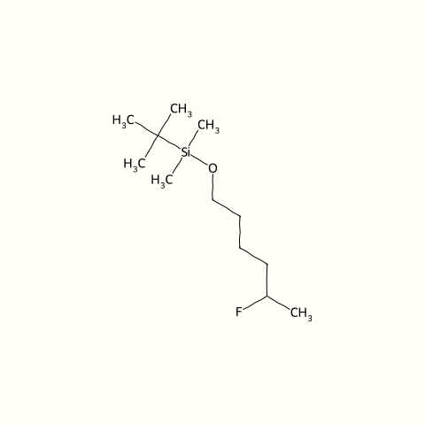 CC(F)CCCCO[Si](C)(C)C(C)(C)C